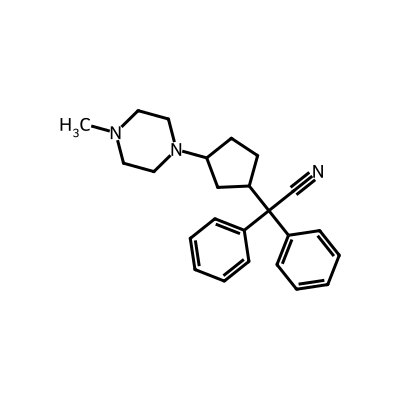 CN1CCN(C2CCC(C(C#N)(c3ccccc3)c3ccccc3)C2)CC1